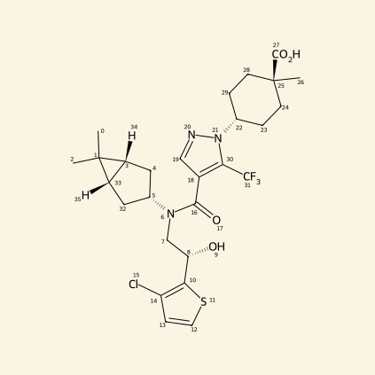 CC1(C)[C@@H]2C[C@H](N(C[C@H](O)c3sccc3Cl)C(=O)c3cnn([C@H]4CC[C@](C)(C(=O)O)CC4)c3C(F)(F)F)C[C@@H]21